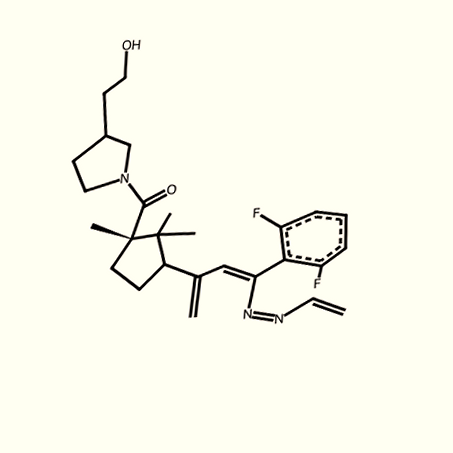 C=C/N=N\C(=C/C(=C)C1CC[C@](C)(C(=O)N2CCC(CCO)C2)C1(C)C)c1c(F)cccc1F